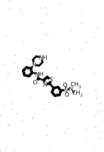 CN(C)S(=O)(=O)c1cccc(-c2nc(C(=O)Nc3ccccc3N3CCNCC3)cs2)c1